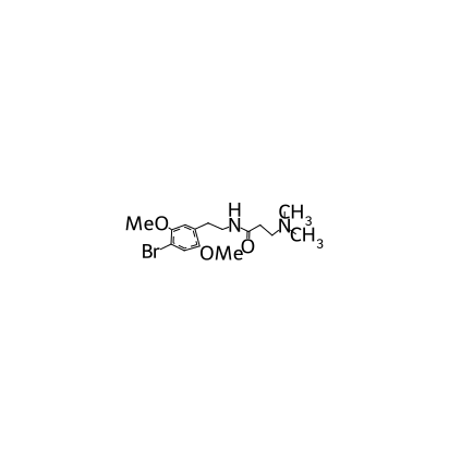 COc1cc(CCNC(=O)CCN(C)C)c(OC)cc1Br